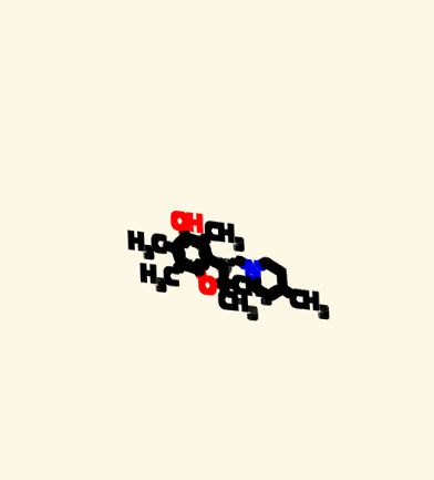 Cc1c(C)c2c(c(C)c1O)[C@H](CN1CCC(C)CC1)C(C)(C)O2